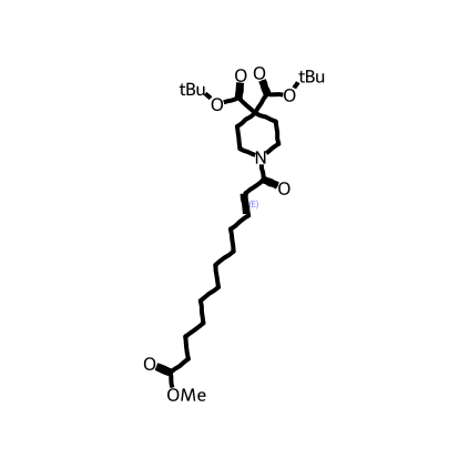 COC(=O)CCCCCCCC/C=C/C(=O)N1CCC(C(=O)OC(C)(C)C)(C(=O)OC(C)(C)C)CC1